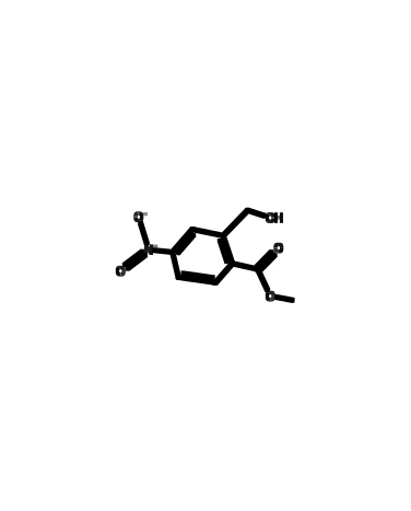 COC(=O)c1ccc([N+](=O)[O-])cc1CO